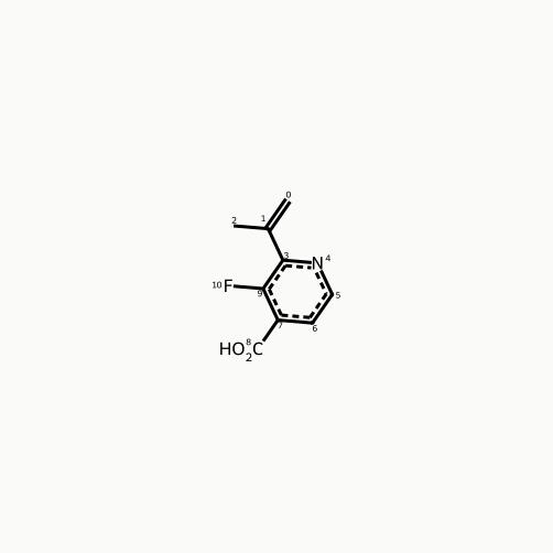 C=C(C)c1nccc(C(=O)O)c1F